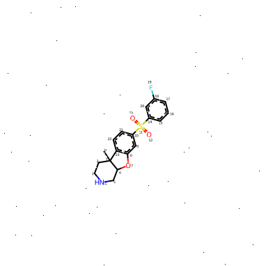 CC12CCNCC1Oc1cc(S(=O)(=O)c3cccc(F)c3)ccc12